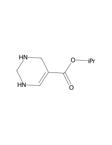 CC(C)OC(=O)C1=CNCNC1